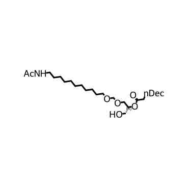 CCCCCCCCCCCC(=O)O[C@H](CO)COCOCCCCCCCCCCCNC(C)=O